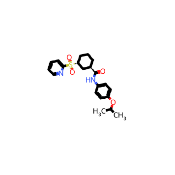 CC(C)Oc1ccc(NC(=O)[C@@H]2CCC[C@@H](S(=O)(=O)c3ccccn3)C2)cc1